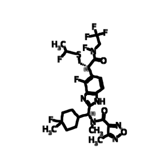 Cc1nonc1C(=O)N(C)[C@H](c1nc2c(F)c([C@H](CSC(C)F)C(=O)N(F)CC(F)(F)F)ccc2[nH]1)C1CCC(C)(F)CC1